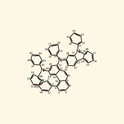 c1ccc(-c2cccc3ccc4c(N(c5ccccc5)c5ccc6c7ccccc7n(-c7ccccc7)c6c5)cc(N(c5ccccc5)c5ccccc5)cc4c23)cc1